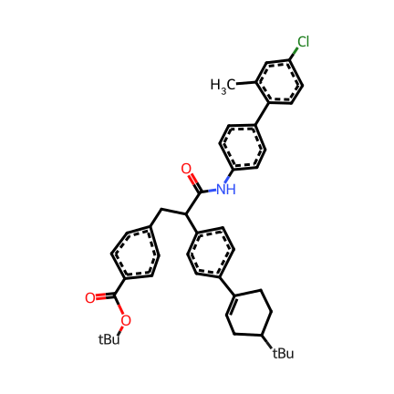 Cc1cc(Cl)ccc1-c1ccc(NC(=O)C(Cc2ccc(C(=O)OC(C)(C)C)cc2)c2ccc(C3=CCC(C(C)(C)C)CC3)cc2)cc1